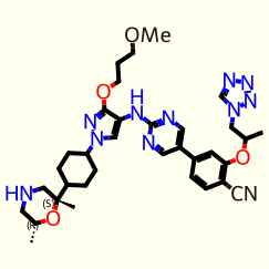 COCCCOc1nn(C2CCC([C@@]3(C)CNC[C@@H](C)O3)CC2)cc1Nc1ncc(-c2ccc(C#N)c(OC(C)Cn3cnnn3)c2)cn1